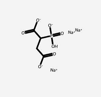 O=C([O-])CC(C(=O)[O-])P(=O)([O-])O.[Na+].[Na+].[Na+]